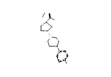 CC[C@@]1(C(=O)O)CC[C@H](N2CCC(c3ccc(F)cc3)CC2)C1